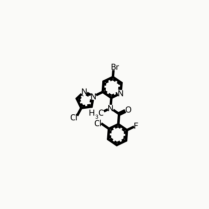 CN(C(=O)c1c(F)cccc1Cl)c1ncc(Br)cc1-n1cc(Cl)cn1